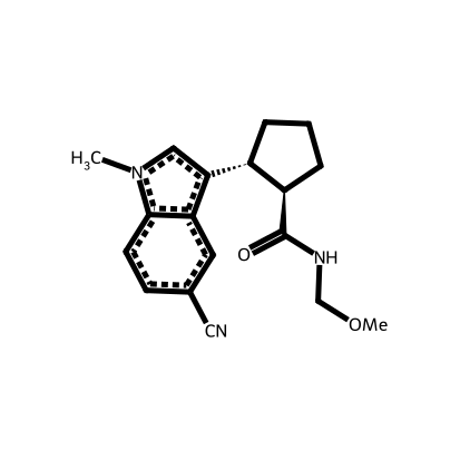 COCNC(=O)[C@@H]1CCC[C@H]1c1cn(C)c2ccc(C#N)cc12